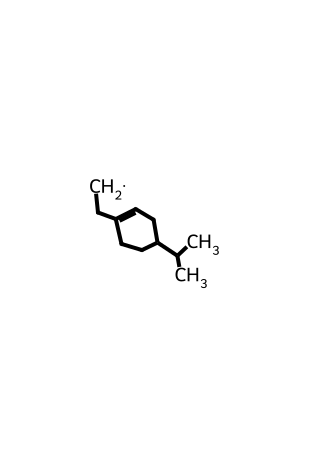 [CH2]CC1=CCC(C(C)C)CC1